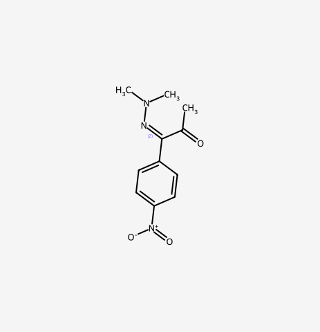 CC(=O)/C(=N\N(C)C)c1ccc([N+](=O)[O-])cc1